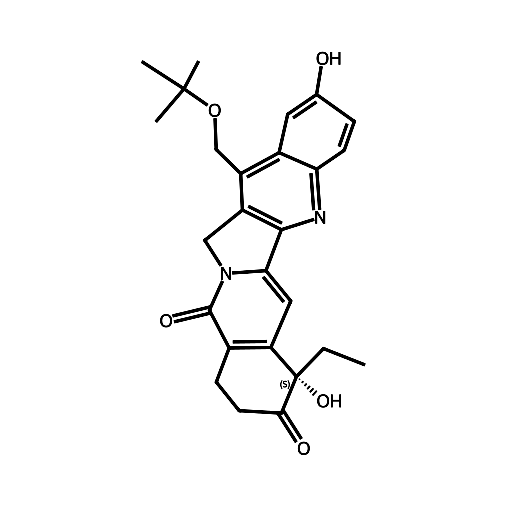 CC[C@@]1(O)C(=O)CCc2c1cc1n(c2=O)Cc2c-1nc1ccc(O)cc1c2COC(C)(C)C